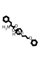 N[C@@H](Cc1ccccc1)C(=O)O[C@H]1C[N+]2(CCCOc3ccccc3)CCC1CC2